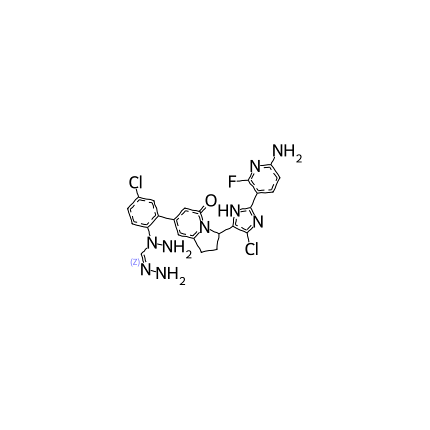 N/N=C\N(N)c1ccc(Cl)cc1-c1cc2n(c(=O)c1)C(c1[nH]c(-c3ccc(N)nc3F)nc1Cl)CC2